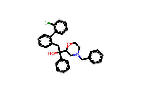 OC(Cc1ccccc1-c1ccccc1Cl)(c1ccccc1)C1CN(Cc2ccccc2)CCO1